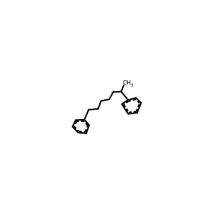 CC([CH]CCCCc1ccccc1)c1ccccc1